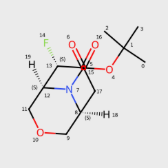 CC(C)(C)OC(=O)N1[C@@H]2COC[C@H]1[C@H](F)C(=O)C2